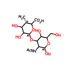 CC(=O)NC1C(O[C@@H]2OC(C(=O)O)[C@@H](C)C(O)C2O)C(O)C(CO)O[C@H]1O